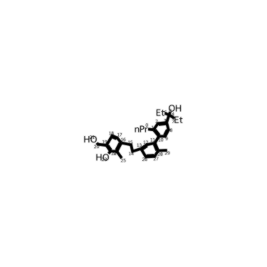 CCCc1cc(C(O)(CC)CC)ccc1-c1cc(CCc2ccc(CO)c(O)c2C)ccc1C